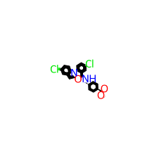 COC(=O)[C@H]1CC[C@H](CNC(=O)c2cc(Cl)ccc2-n2ccc3cc(Cl)ccc32)CC1